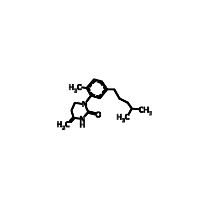 C=C1CCN(c2cc(CCCC(C)C)ccc2C)C(=O)N1